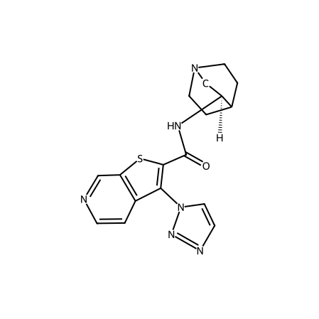 O=C(N[C@H]1CN2CCC1CC2)c1sc2cnccc2c1-n1ccnn1